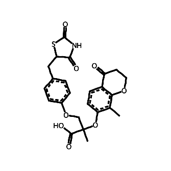 Cc1c(OC(C)(COc2ccc(CC3SC(=O)NC3=O)cc2)C(=O)O)ccc2c1OCCC2=O